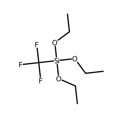 CCO[Si](OCC)(OCC)C(F)(F)F